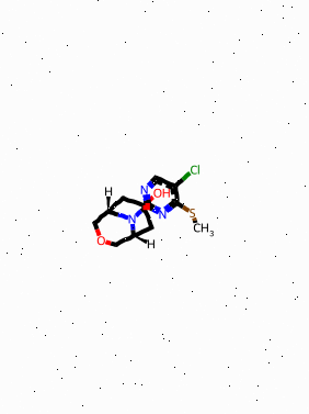 CSc1nc(N2[C@@H]3COC[C@H]2CC(O)C3)ncc1Cl